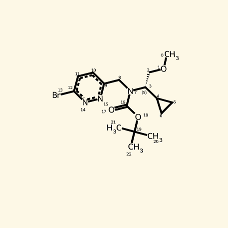 COC[C@H](C1CC1)N(Cc1ccc(Br)nn1)C(=O)OC(C)(C)C